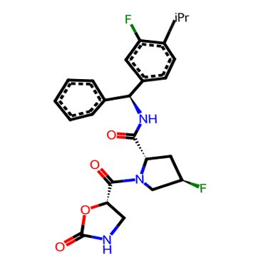 CC(C)c1ccc([C@@H](NC(=O)[C@@H]2C[C@@H](F)CN2C(=O)[C@@H]2CNC(=O)O2)c2ccccc2)cc1F